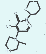 CC1CNCCN1c1cnn(C2CCCCO2)c(=O)c1C#N